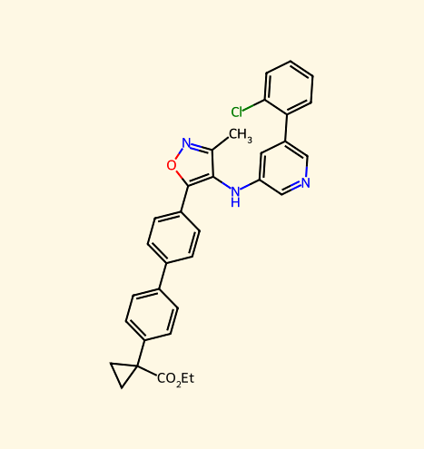 CCOC(=O)C1(c2ccc(-c3ccc(-c4onc(C)c4Nc4cncc(-c5ccccc5Cl)c4)cc3)cc2)CC1